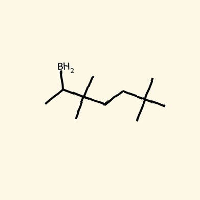 BC(C)C(C)(C)CCC(C)(C)C